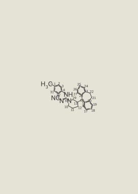 Cc1ccc(NC(=NC#N)N2CCCC(C3c4ccccc4CCc4ccccc43)C2)cc1